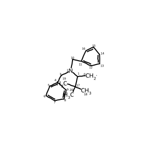 [CH2]C(N(Cc1ccccc1)Cc1ccccc1)C(C)(C)C